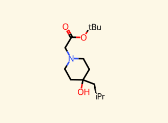 CC(C)CC1(O)CCN(CC(=O)OC(C)(C)C)CC1